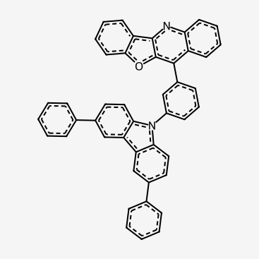 c1ccc(-c2ccc3c(c2)c2cc(-c4ccccc4)ccc2n3-c2cccc(-c3c4ccccc4nc4c3oc3ccccc34)c2)cc1